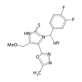 CCCC(c1ccc(F)c(F)c1)n1c(-c2nnc(C)o2)c(COC)[nH]c1=S